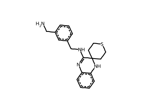 NCc1cccc(CNC2=Nc3ccccc3NC23CCSCC3)c1